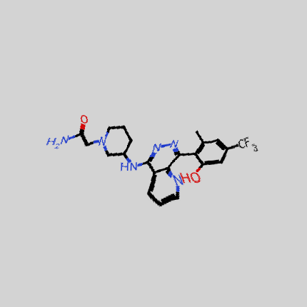 Cc1cc(C(F)(F)F)cc(O)c1-c1nnc(NC2CCCN(CC(N)=O)C2)c2cccnc12